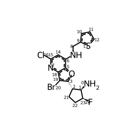 N[C@@H]1[C@@H](c2oc3c(NCc4cccs4)cc(Cl)nc3c2Br)CC[C@@H]1F